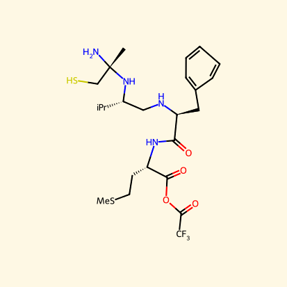 CSCC[C@H](NC(=O)[C@H](Cc1ccccc1)NC[C@@H](N[C@@](C)(N)CS)C(C)C)C(=O)OC(=O)C(F)(F)F